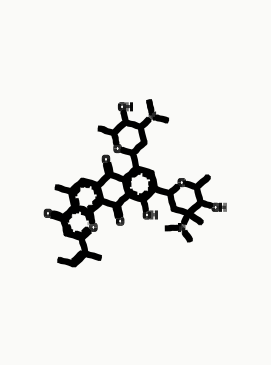 C/C=C(/C)c1cc(=O)c2c(C)cc3c(c2o1)C(=O)c1c(O)c(C2CC(C)(N(C)C)C(O)C(C)O2)cc(C2CC(N(C)C)C(O)C(C)O2)c1C3=O